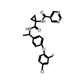 CC(NC(=O)C1(NC(=O)c2cncnc2)CC1)c1ccc(Oc2ccc(Cl)cc2F)cc1